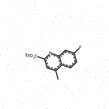 CCOC(=O)c1cc(C)c2ccc(F)cc2n1